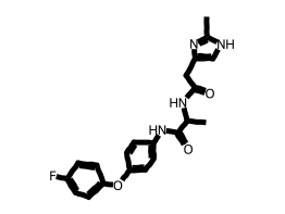 Cc1nc(CC(=O)NC(C)C(=O)Nc2ccc(Oc3ccc(F)cc3)cc2)c[nH]1